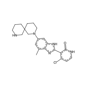 Cc1cc(N2CCCC3(CCCNC3)C2)cc2[nH]c(-c3c(Cl)cc[nH]c3=O)nc12